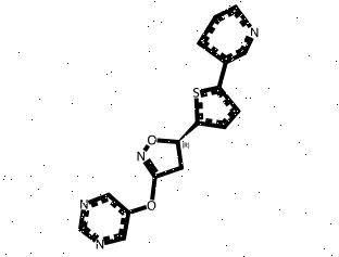 c1cncc(-c2ccc([C@H]3CC(Oc4cncnc4)=NO3)s2)c1